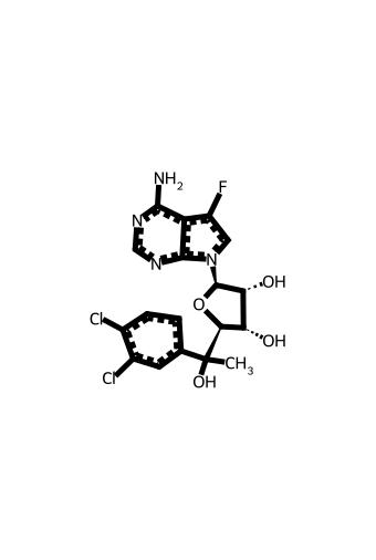 CC(O)(c1ccc(Cl)c(Cl)c1)[C@H]1O[C@@H](n2cc(F)c3c(N)ncnc32)[C@H](O)[C@@H]1O